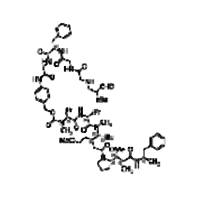 CCCCC(C=O)CNCC(=O)NCC(=O)N[C@@H](Cc1ccccc1)C(=O)NCC(=O)Nc1ccc(COC(=O)N(C)[C@H](C(=O)N[C@H](C(=O)N(C)[C@H]([C@H](CCOC)CC(=O)N2CCC[C@H]2[C@H](OC)[C@@H](C)C(=O)N[C@H](C)Cc2ccccc2)[C@@H](C)CC)C(C)C)C(C)C)cc1